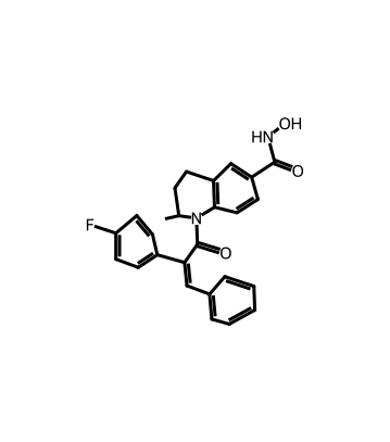 CC1CCc2cc(C(=O)NO)ccc2N1C(=O)/C(=C\c1ccccc1)c1ccc(F)cc1